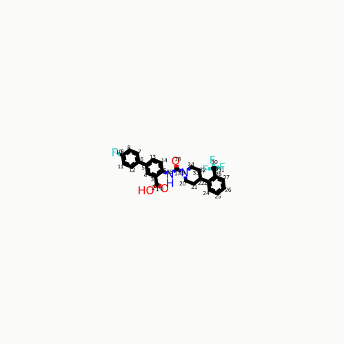 O=C(O)c1cc(-c2ccc(F)cc2)ccc1NC(=O)N1CCC(c2ccccc2C(F)(F)F)CC1